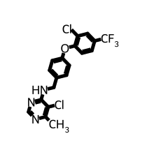 Cc1ncnc(NCc2ccc(Oc3ccc(C(F)(F)F)cc3Cl)cc2)c1Cl